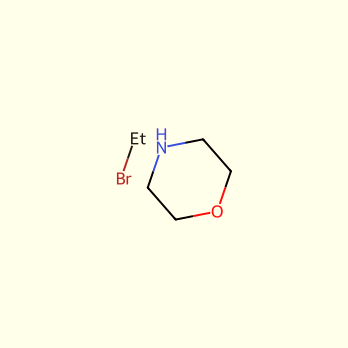 C1COCCN1.CCBr